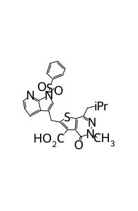 CC(C)Cc1nn(C)c(=O)c2c(C(=O)O)c(Cc3cn(S(=O)(=O)c4ccccc4)c4ncccc34)sc12